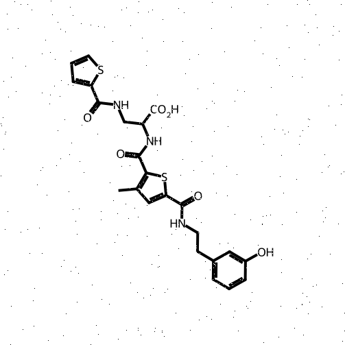 Cc1cc(C(=O)NCCc2cccc(O)c2)sc1C(=O)NC(CNC(=O)c1cccs1)C(=O)O